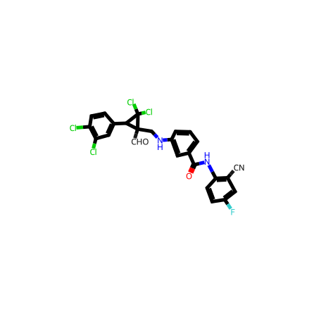 N#Cc1cc(F)ccc1NC(=O)c1cccc(NCC2(C=O)C(c3ccc(Cl)c(Cl)c3)C2(Cl)Cl)c1